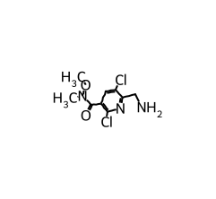 CON(C)C(=O)c1cc(Cl)c(CN)nc1Cl